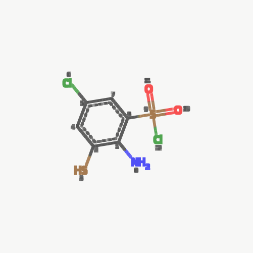 Nc1c(S)cc(Cl)cc1S(=O)(=O)Cl